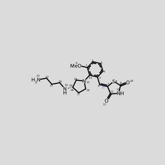 COc1cccc(/C=C2\SC(=O)NC2=O)c1N1CC[C@H](NCCCN)C1